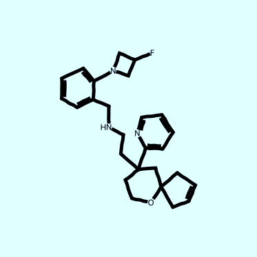 FC1CN(c2ccccc2CNCCC2(c3ccccn3)CCOC3(CC=CC3)C2)C1